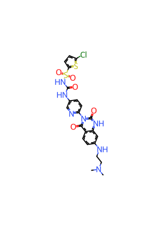 CN(C)CCNc1ccc2c(=O)n(-c3ccc(NC(=O)NS(=O)(=O)c4ccc(Cl)s4)cn3)c(=O)[nH]c2c1